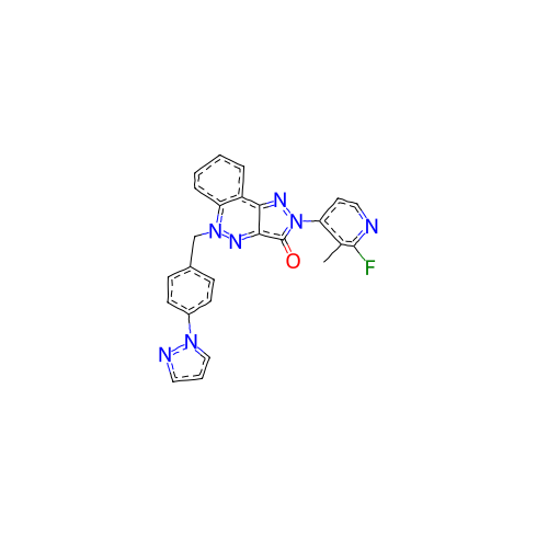 Cc1c(-n2nc3c4ccccc4n(Cc4ccc(-n5cccn5)cc4)nc-3c2=O)ccnc1F